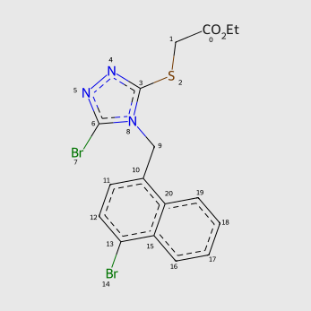 CCOC(=O)CSc1nnc(Br)n1Cc1ccc(Br)c2ccccc12